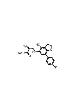 C=C(CNc1cc(-c2ccc(C(C)C)cc2)c2c(c1C#N)CCO2)C(=O)OC